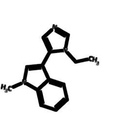 CCn1cncc1-c1cn(C)c2ccccc12